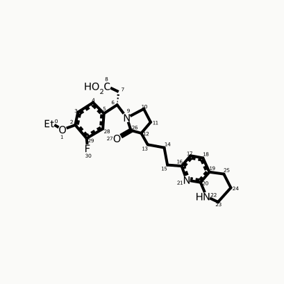 CCOc1ccc([C@H](CC(=O)O)N2CCC(CCCc3ccc4c(n3)NCCC4)C2=O)cc1F